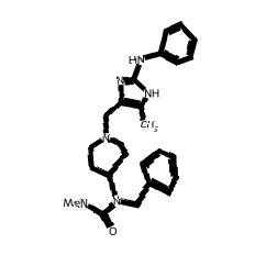 CNC(=O)N(Cc1ccccc1)C1CCN(Cc2nc(Nc3ccccc3)[nH]c2C)CC1